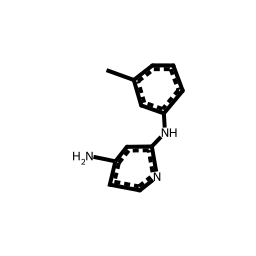 Cc1cccc(Nc2cc(N)ccn2)c1